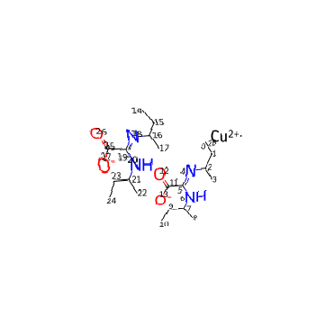 CCC(C)N=C(NC(C)CC)C(=O)[O-].CCC(C)N=C(NC(C)CC)C(=O)[O-].[Cu+2]